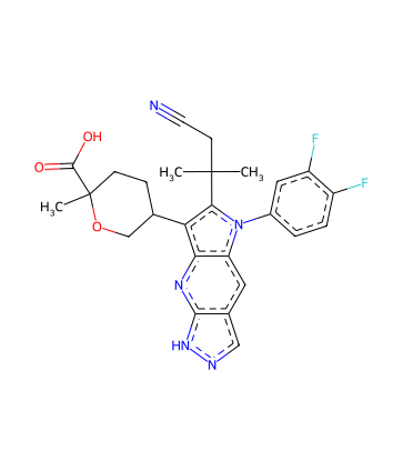 CC1(C(=O)O)CCC(c2c(C(C)(C)CC#N)n(-c3ccc(F)c(F)c3)c3cc4cn[nH]c4nc23)CO1